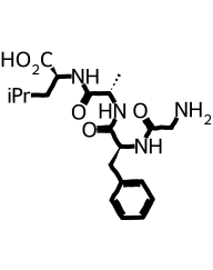 CC(C)C[C@H](NC(=O)[C@H](C)NC(=O)[C@H](Cc1ccccc1)NC(=O)CN)C(=O)O